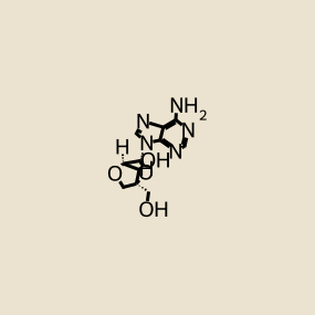 Nc1ncnc2c1ncn2[C@@H]1O[C@@]2(CO)CO[C@@H]1[C@H]2O